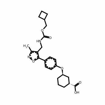 Cc1noc(-c2ccc(O[C@@H]3CCC[C@@H](C(=O)O)C3)cc2)c1CNC(=O)OCC1CCC1